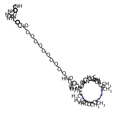 CO[C@H]1C[C@@H]2CC[C@@H](C)[C@@](O)(O2)C(=O)C(=O)N2CCCC[C@H]2C(=O)O[C@H]([C@H](N)C[C@@H]2CC[C@@H](OC(=O)NCCOCCOCCOCCOCCOCCOCCOCCOCCOCCOCCC(=O)N3CCc4cc(Cn5nc(-c6ccc7[nH]ccc7c6)c6c(N)ncnc65)ccc4C3)[C@H](OC)C2)CC[C@H](C)/C=C(\C)[C@@H](O)[C@@H](O)C(=O)[C@H](C)C[C@H](C)/C=C/C=C/C=C/1C